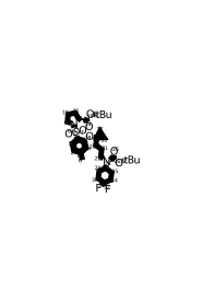 Cc1ccc(S(=O)(=O)N2CCC[C@H]2C(=O)OC(C)(C)C)c(OC2(CCCN(C(=O)OC(C)(C)C)C3CCC(F)(F)CC3)CC2)c1